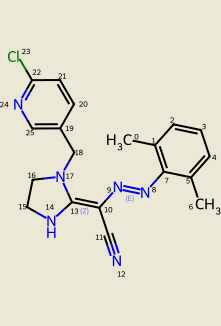 Cc1cccc(C)c1/N=N/C(C#N)=C1/NCCN1Cc1ccc(Cl)nc1